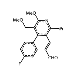 COCc1c(OC)nc(C(C)C)c(/C=C/C=O)c1-c1ccc(F)cc1